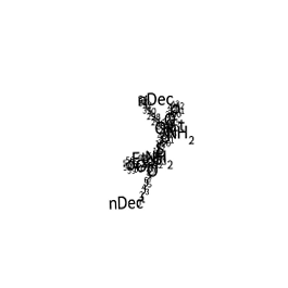 CCCCCCCCCCCCCCCCCCOC(c1cccc(CSCc2cccc(C(OCCCCCCCCCCCCCCCCCC)C(COCc3ccccc3)C(N)CC)c2)c1)C(COCc1ccccc1)C(N)CC